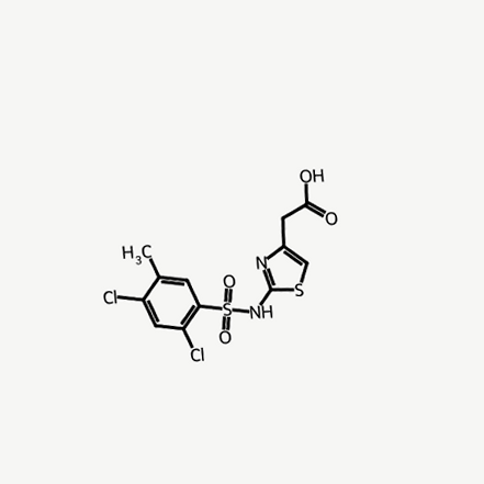 Cc1cc(S(=O)(=O)Nc2nc(CC(=O)O)cs2)c(Cl)cc1Cl